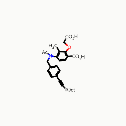 CCCCCCCCC#Cc1ccc(CN(C(C)=O)c2ccc(C(=O)O)c(OCC(=O)O)c2C)cc1